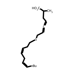 CCCC/C=C\C/C=C\CCSCC=C=CCC(C)C(=O)O